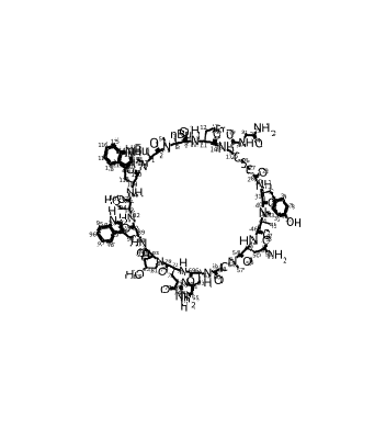 CCCC[C@H]1C(=O)N(C)[C@@H](CCCC)C(=O)N[C@@H](CC(C)C)C(=O)N[C@H](C(=O)NCC(N)=O)CSCC(=O)N[C@@H](Cc2ccc(O)cc2)C(=O)N(C)[C@@H](C)C(=O)N[C@@H](CC(N)=O)C(=O)N(C)CC(=O)N[C@@H](Cc2c[nH]cn2)C(=O)N[C@@H](CCC(N)=O)C(=O)N2C[C@H](O)C[C@H]2C(=O)N[C@@H](Cc2c[nH]c3ccccc23)C(=O)N[C@@H](CO)C(=O)N[C@@H](Cc2c[nH]c3ccccc23)C(=O)N1C